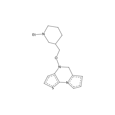 CCN1CCCC(CON2Cc3cccn3-c3sccc32)C1